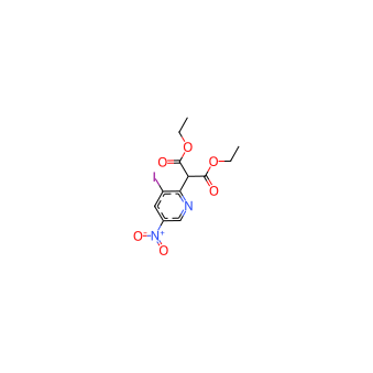 CCOC(=O)C(C(=O)OCC)c1ncc([N+](=O)[O-])cc1I